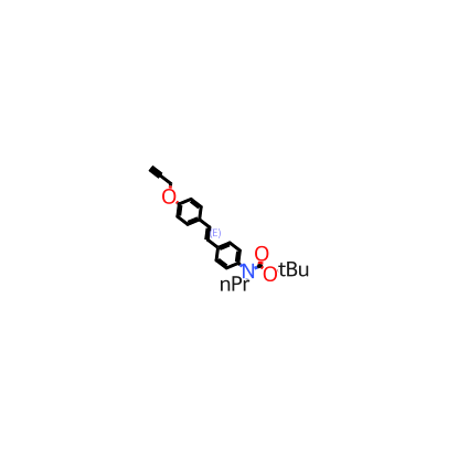 C#CCOc1ccc(/C=C/c2ccc(N(CCC)C(=O)OC(C)(C)C)cc2)cc1